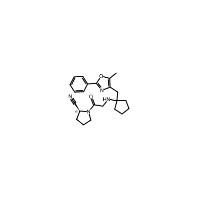 Cc1oc(-c2ccccc2)nc1CC1(NCC(=O)N2CCC[C@H]2C#N)CCCC1